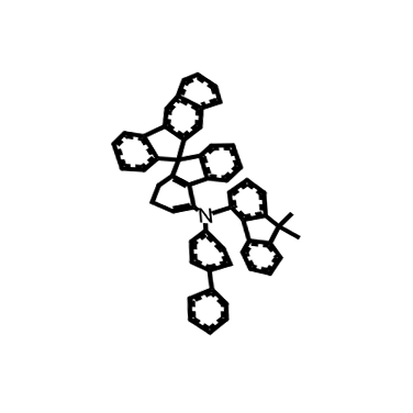 CC1(C)c2ccccc2-c2c(N(C3=CCCC4=C3c3ccccc3C43c4ccccc4-c4cc5ccccc5cc43)c3ccc(-c4ccccc4)cc3)cccc21